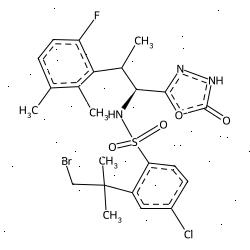 Cc1ccc(F)c(C(C)[C@H](NS(=O)(=O)c2ccc(Cl)cc2C(C)(C)CBr)c2n[nH]c(=O)o2)c1C